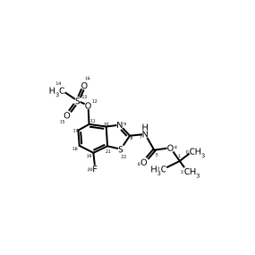 CC(C)(C)OC(=O)Nc1nc2c(OS(C)(=O)=O)ccc(F)c2s1